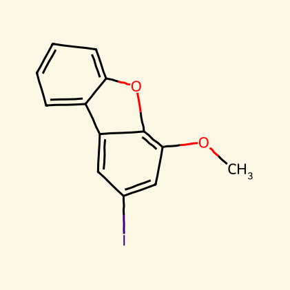 COc1cc(I)cc2c1oc1ccccc12